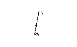 CCCCCCCCCCCCCCCCCCCCSCCCCCCCCCCC